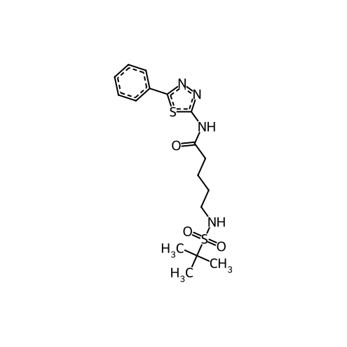 CC(C)(C)S(=O)(=O)NCCCCC(=O)Nc1nnc(-c2ccccc2)s1